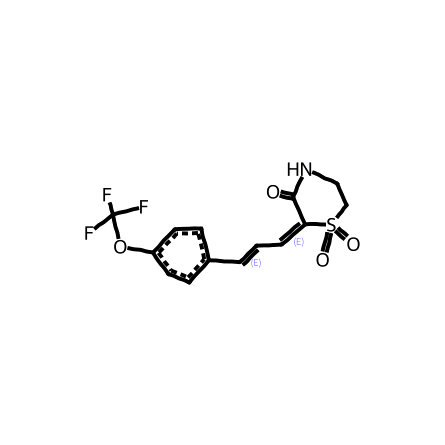 O=C1NCCS(=O)(=O)/C1=C/C=C/c1ccc(OC(F)(F)F)cc1